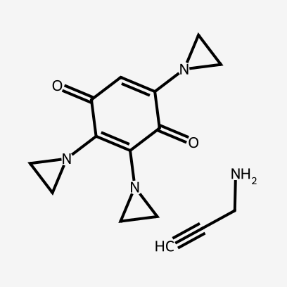 C#CCN.O=C1C=C(N2CC2)C(=O)C(N2CC2)=C1N1CC1